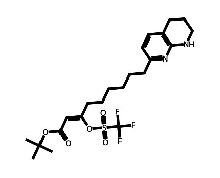 CC(C)(C)OC(=O)C=C(CCCCCCc1ccc2c(n1)NCCC2)OS(=O)(=O)C(F)(F)F